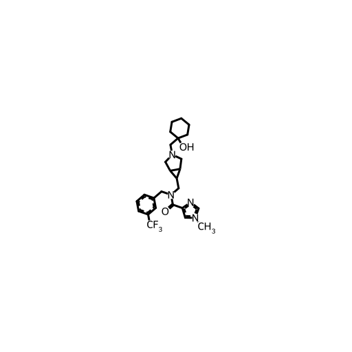 Cn1cnc(C(=O)N(Cc2cccc(C(F)(F)F)c2)CC2C3CN(CC4(O)CCCCC4)CC32)c1